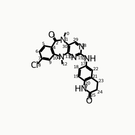 CN1C(=O)c2ccc(Cl)cc2N(C)c2nc(Nc3ccc4c(c3)CCC(=O)N4)ncc21